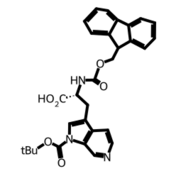 CC(C)(C)OC(=O)n1cc(C[C@@H](NC(=O)OCC2c3ccccc3-c3ccccc32)C(=O)O)c2ccncc21